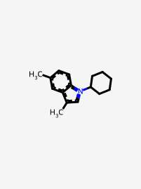 Cc1ccc2c(c1)c(C)cn2C1CCCCC1